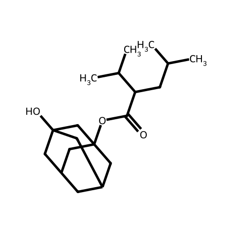 CC(C)CC(C(=O)OC12CC3CC(CC(O)(C3)C1)C2)C(C)C